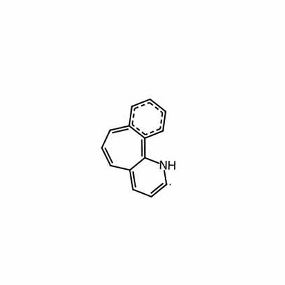 [C]1=CC=C2C=CC=c3ccccc3=C2N1